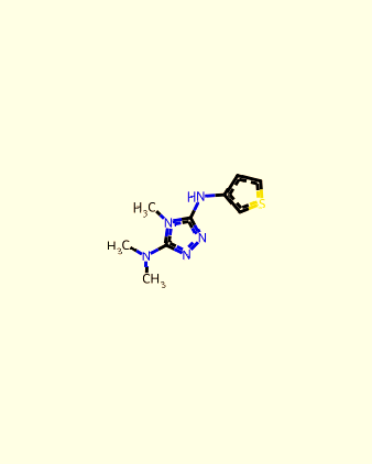 CN(C)c1nnc(Nc2ccsc2)n1C